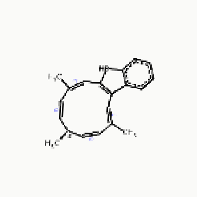 CC1=C/C2=C(/C=C(C)/C=C\[C@@H](C)/C=C\1)c1ccccc1B2